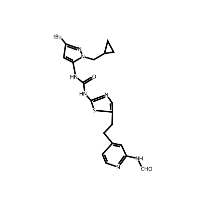 CC(C)(C)c1cc(NC(=O)Nc2ncc(CCc3ccnc(NC=O)c3)s2)n(CC2CC2)n1